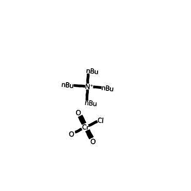 CCCC[N+](CCCC)(CCCC)CCCC.[O]=[Cr](=[O])([O-])[Cl]